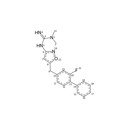 CN(C)C(=N)Nc1cc(Cc2ccc(-c3ccccc3)c(F)c2)on1